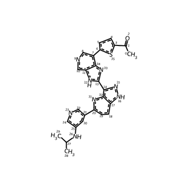 CC(=O)c1ccc(-c2cncc3[nH]c(-c4n[nH]c5ccc(-c6cncc(NC(C)C)c6)nc45)nc23)s1